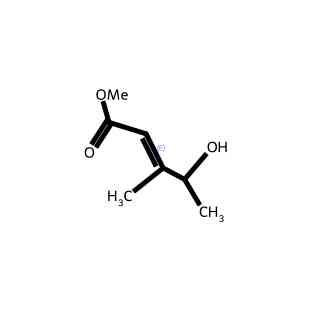 COC(=O)/C=C(\C)C(C)O